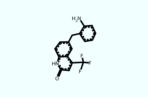 Nc1ccccc1Cc1ccc2[nH]c(=O)cc(C(F)(F)F)c2c1